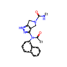 CCNC(=O)N1Cc2[nH]nc(N(C(=O)CC)c3cccc4ccccc34)c2C1